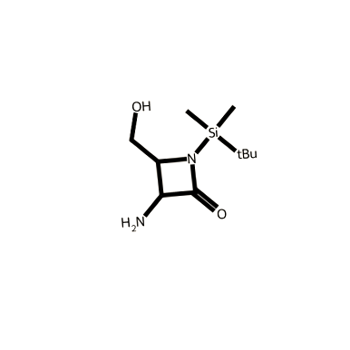 CC(C)(C)[Si](C)(C)N1C(=O)C(N)C1CO